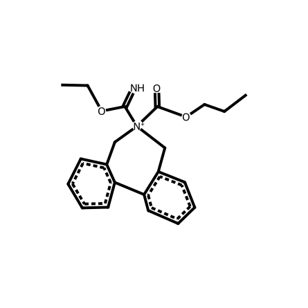 CCCOC(=O)[N+]1(C(=N)OCC)Cc2ccccc2-c2ccccc2C1